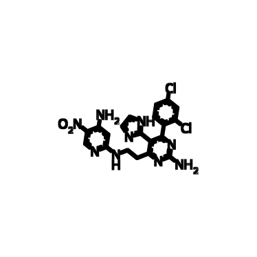 Nc1nc(CCNc2cc(N)c([N+](=O)[O-])cn2)c(-c2ncc[nH]2)c(-c2ccc(Cl)cc2Cl)n1